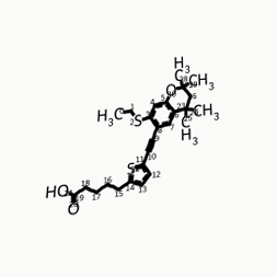 CCSc1cc2c(cc1C#Cc1ccc(CCCCC(=O)O)s1)C(C)(C)CC(C)(C)O2